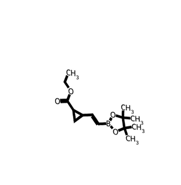 CCOC(=O)C1CC1/C=C/B1OC(C)(C)C(C)(C)O1